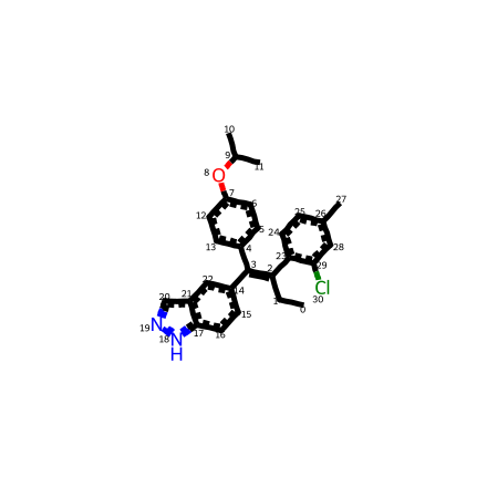 CC/C(=C(/c1ccc(OC(C)C)cc1)c1ccc2[nH]ncc2c1)c1ccc(C)cc1Cl